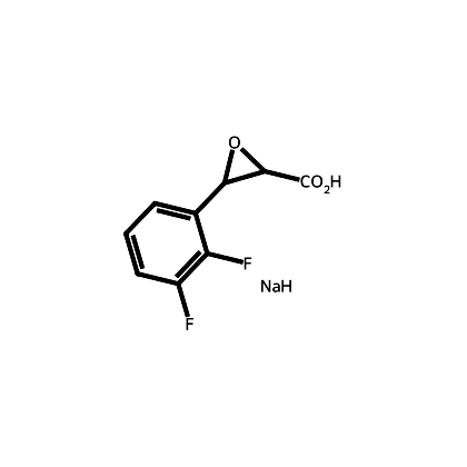 O=C(O)C1OC1c1cccc(F)c1F.[NaH]